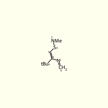 C=N/C(=C\SNC)C(C)(C)C